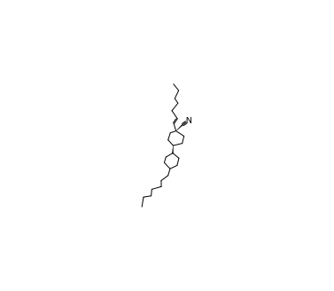 CCCCCC=C[C@]1(C#N)CC[C@@H](C2CCC(CCCCCCC)CC2)CC1